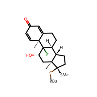 CCCCS[C@@]1(SC)CC[C@H]2[C@@H]3CCC4=CC(=O)C=C[C@]4(C)C3(F)[C@@H](O)C[C@@]21C